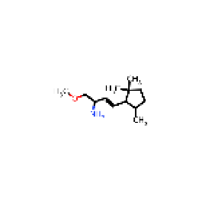 COCC(N)/C=C/C1C(C)CCC1(C)C